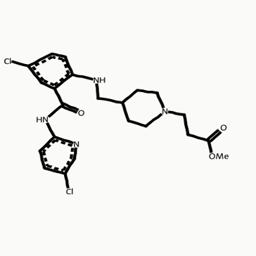 COC(=O)CCN1CCC(CNc2ccc(Cl)cc2C(=O)Nc2ccc(Cl)cn2)CC1